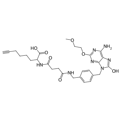 C#CCCCCC(NC(=O)CCC(=O)NCc1ccc(Cn2c(O)nc3c(N)nc(OCCOC)nc32)cc1)C(=O)O